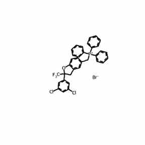 FC(F)(F)C1(c2cc(Cl)cc(Cl)c2)Cc2cc(C[P+](c3ccccc3)(c3ccccc3)c3ccccc3)ccc2O1.[Br-]